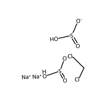 ClCCl.O=S([O-])O.O=S([O-])O.[Na+].[Na+]